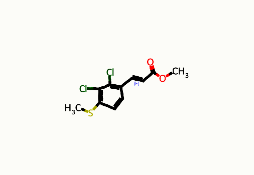 COC(=O)/C=C/c1ccc(SC)c(Cl)c1Cl